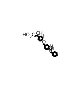 CC(CC(=O)O)c1ccc(OCc2ccc3c(c2)nnn3Cc2ccccc2)cc1